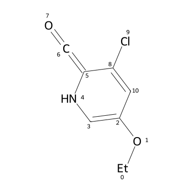 CCOC1=CNC(=C=O)C(Cl)=C1